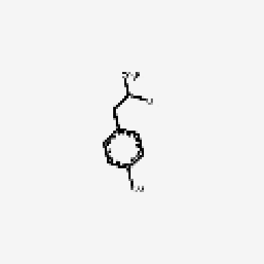 CCOC(=O)C(C)Cc1ccc(C(C)(C)C)cc1